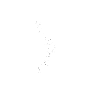 C=CC(=O)OCC(=O)OCCOC(=O)NC1CCCC(NC(=O)OCCOC(=O)COC(=O)C=C)C1